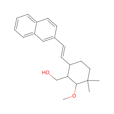 COC1C(CO)C(C=Cc2ccc3ccccc3c2)CCC1(C)C